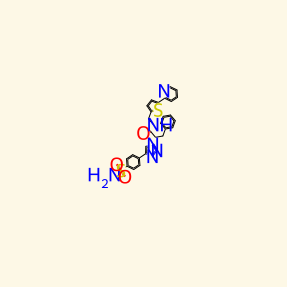 NS(=O)(=O)c1ccc(-c2cn(C(Cc3ccccc3)C(=O)NCc3ccc(-c4ccccn4)s3)nn2)cc1